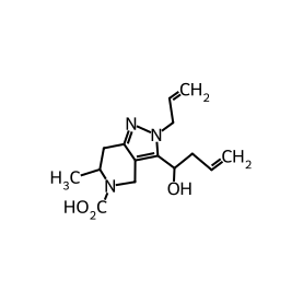 C=CCC(O)c1c2c(nn1CC=C)CC(C)N(C(=O)O)C2